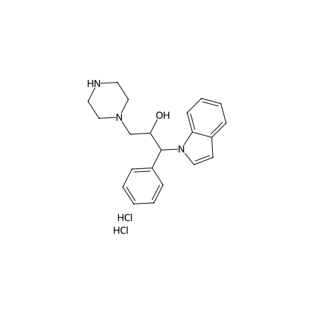 Cl.Cl.OC(CN1CCNCC1)C(c1ccccc1)n1ccc2ccccc21